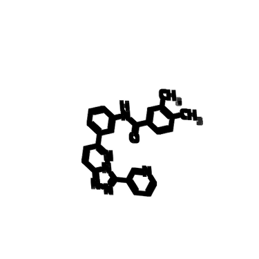 Cc1ccc(C(=O)Nc2cccc(-c3ccc4nnc(-c5cccnc5)n4n3)c2)cc1C